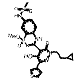 COP1(=O)N=C(c2c(O)c(-c3ccsc3)nn(CCC3CC3)c2=O)Nc2ccc(NS(C)(=O)=O)cc21